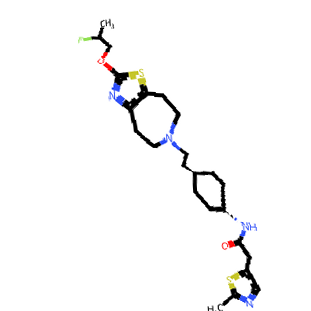 Cc1ncc(CC(=O)N[C@H]2CC[C@H](CCN3CCc4nc(OCC(C)F)sc4CC3)CC2)s1